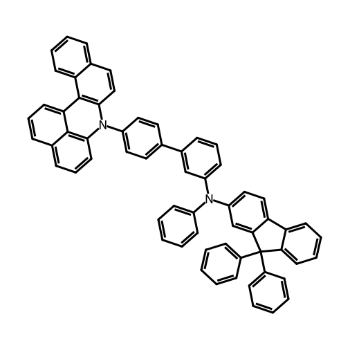 c1ccc(N(c2cccc(-c3ccc(N4c5ccc6ccccc6c5-c5cccc6cccc4c56)cc3)c2)c2ccc3c(c2)C(c2ccccc2)(c2ccccc2)c2ccccc2-3)cc1